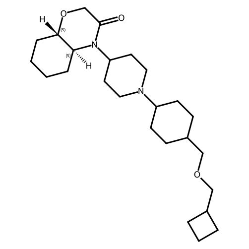 O=C1CO[C@H]2CCCC[C@@H]2N1C1CCN(C2CCC(COCC3CCC3)CC2)CC1